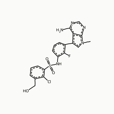 Cn1cc(-c2cccc(NS(=O)(=O)c3cccc(CO)c3Cl)c2F)c2c(N)ncnc21